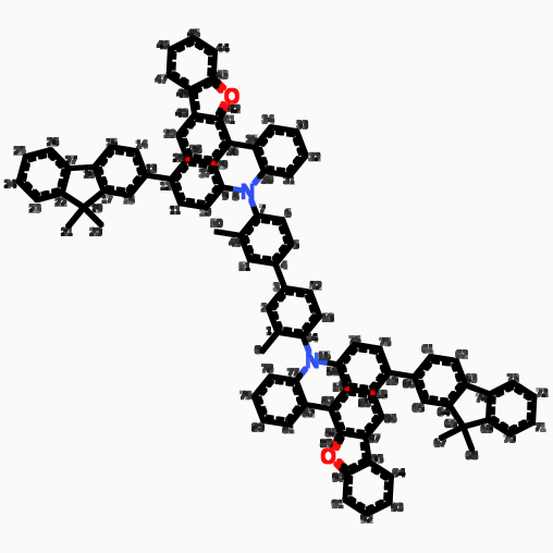 Cc1cc(-c2ccc(N(c3ccc(-c4ccc5c(c4)C(C)(C)c4ccccc4-5)cc3)c3ccccc3-c3cccc4c3oc3ccccc34)c(C)c2)ccc1N(c1ccc(-c2ccc3c(c2)C(C)(C)c2ccccc2-3)cc1)c1ccccc1-c1cccc2c1oc1ccccc12